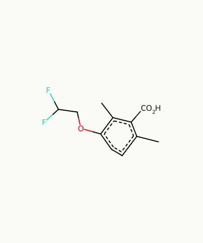 Cc1ccc(OCC(F)F)c(C)c1C(=O)O